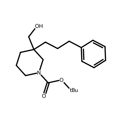 CC(C)(C)OC(=O)N1CCCC(CO)(CCCc2ccccc2)C1